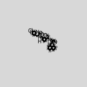 NC(=O)C(Cc1ccc(Cl)cc1)NC(=O)c1cccc2c1OCCC2NCc1cncn1Cc1cccc2ccccc12